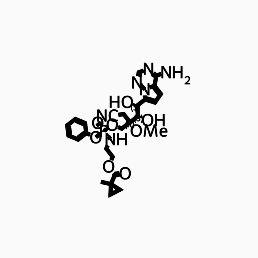 CO[C@](CC#N)(COP(=O)(NCCOC(=O)C1(C)CC1)Oc1ccccc1)[C@@H](O)[C@@H](O)c1ccc2c(N)ncnn12